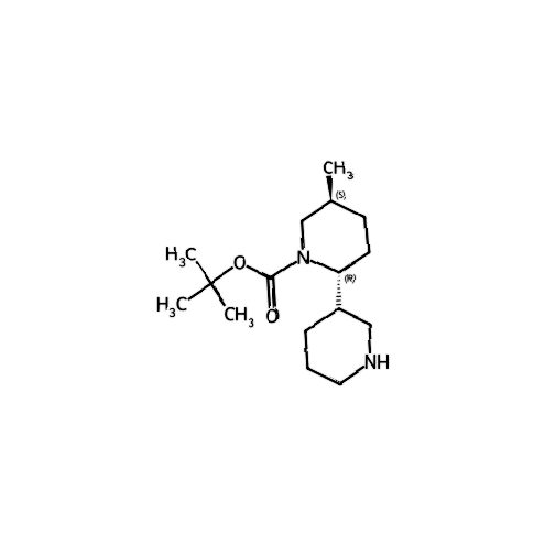 C[C@H]1CC[C@H](C2CCCNC2)N(C(=O)OC(C)(C)C)C1